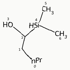 CCCCC(O)[SiH](C)C